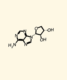 Nc1ncnc2c1ncn2[C@@H]1OC[C@H](O)[C@H]1O